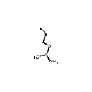 CCCON(N)O